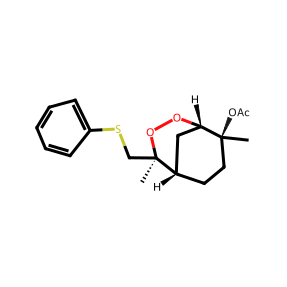 CC(=O)O[C@@]1(C)CC[C@H]2C[C@@H]1OO[C@]2(C)CSc1ccccc1